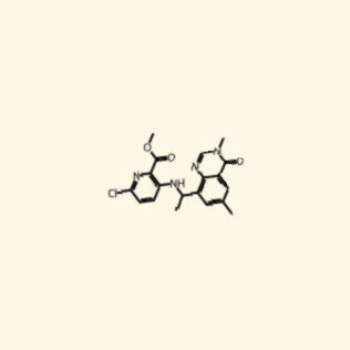 COC(=O)c1nc(Cl)ccc1NC(C)c1cc(C)cc2c(=O)n(C)cnc12